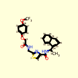 CC(NC(=O)c1csc(CNC(=O)COc2ccc(OC(F)(F)F)cc2)n1)c1cccc2ccccc12